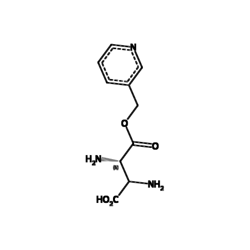 NC(C(=O)O)[C@H](N)C(=O)OCc1cccnc1